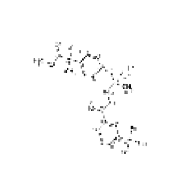 COC(=O)C(C)(C)c1ccc(CC(C)NCC(O)c2cccc(C(F)(F)F)c2)cc1.[Br-].[H+]